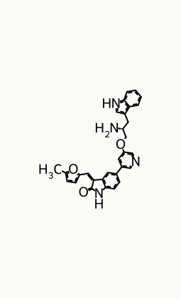 Cc1ccc(/C=C2\C(=O)Nc3ccc(-c4cncc(OC[C@@H](N)Cc5c[nH]c6ccccc56)c4)cc32)o1